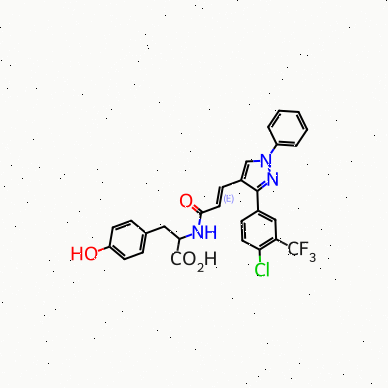 O=C(/C=C/c1cn(-c2ccccc2)nc1-c1ccc(Cl)c(C(F)(F)F)c1)NC(Cc1ccc(O)cc1)C(=O)O